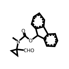 CN(C(=O)OC1c2ccccc2-c2ccccc21)C1(C=O)CC1